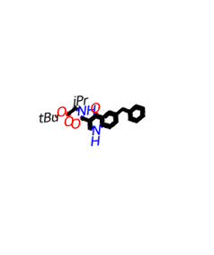 CC(C)[C@H](NC(=O)c1c[nH]c2ccc(Cc3ccccc3)cc2c1=O)C(=O)OC(C)(C)C